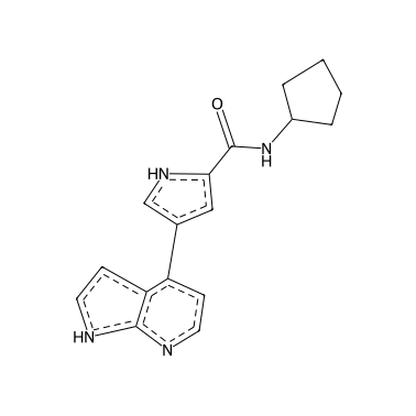 O=C(NC1CCCC1)c1cc(-c2ccnc3[nH]ccc23)c[nH]1